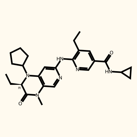 CCc1cc(C(=O)NC2CC2)cnc1Nc1cc2c(cn1)N(C)C(=O)[C@@H](CC)N2C1CCCC1